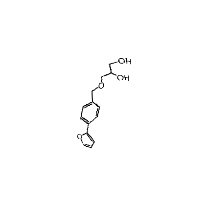 OCC(O)COCc1ccc(-c2ccco2)cc1